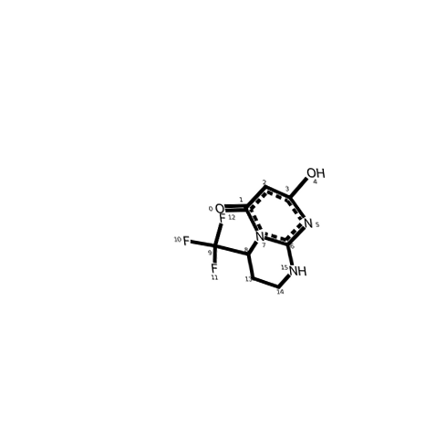 O=c1cc(O)nc2n1C(C(F)(F)F)CCN2